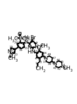 C=CCc1cc(Nc2ncc(Br)c(Nc3ccc(-c4cnn(C)c4)cc3P(C)(C)=O)n2)c(OC)cc1N1CCC(N2CCN(C)CC2)CC1